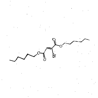 CCCCCCOC(=O)/C=C(\Br)C(=O)OCCCCCC